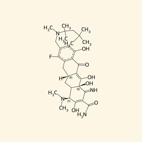 CN(C)[C@@H]1C(O)=C(C(N)=O)C(=N)[C@@]2(O)C(O)=C3C(=O)c4c(O)cc(CN(C)C(C)(C)CC(C)(C)C)c(F)c4C[C@H]3CC12